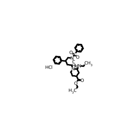 CCNC1CC(C(=O)OCC)CCN1CCC(CN(C)S(=O)(=O)c1ccccc1)c1ccccc1.Cl